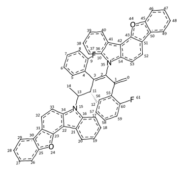 C=C(/C(=C(/c1ccccc1F)[C@H](C)C(C)n1c2ccccc2c2c3oc4ccccc4c3ccc21)n1c2ccccc2c2c3oc4ccccc4c3ccc21)c1ccccc1F